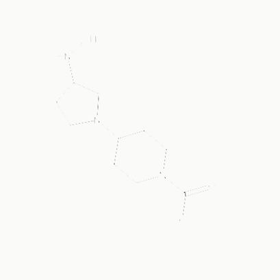 CNC1CCN(C2CCN(C(C)=O)CC2)C1